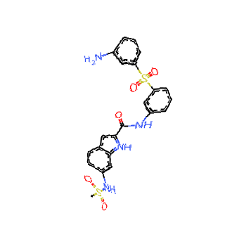 CS(=O)(=O)Nc1ccc2cc(C(=O)Nc3cccc(S(=O)(=O)c4cccc(N)c4)c3)[nH]c2c1